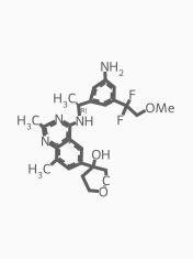 COCC(F)(F)c1cc(N)cc([C@@H](C)Nc2nc(C)nc3c(C)cc(C4(O)CCOCC4)cc23)c1